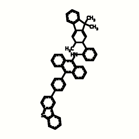 CC1C=C2C(=CC1c1ccccc1Nc1c3ccccc3c(-c3ccc(-c4ccc5sc6ccccc6c5c4)cc3)c3ccccc13)C(C)(C)c1ccccc12